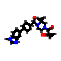 Cn1cnc2cc(-c3ccc(C(=O)N4CCN(C(=O)C5(O)CC5)CC45CC5)cc3)ccc21